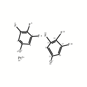 [O-]c1cc(F)c(F)c(F)c1.[O-]c1cc(F)c(F)c(F)c1.[Pt+2]